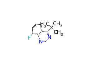 CC(C)(C)c1ncnc2c(F)cccc12